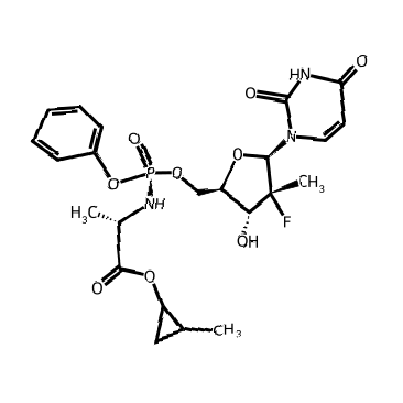 CC1CC1OC(=O)[C@H](C)N[P@@](=O)(OC[C@H]1O[C@@H](n2ccc(=O)[nH]c2=O)[C@](C)(F)[C@@H]1O)Oc1ccccc1